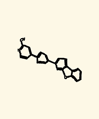 N#Cc1cc(-c2ccc(-c3ccc4c(c3)oc3ccccc34)cc2)ccn1